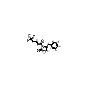 O=C(C=CCC(F)(F)F)N1C(=O)OC[C@@H]1Cc1ccccc1